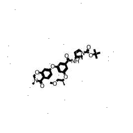 COC[C@H](C)Oc1cc(Oc2ccc3c(c2)OCN(C)C3=O)cc(C(=O)Nc2ccn(C(=O)OC(C)(C)C)n2)c1